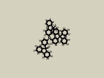 CC1(C)c2ccccc2-c2ccc(N(c3cccc(C4(C)c5ccccc5-c5ccccc54)c3)c3cccc4c3-c3ccccc3C4(c3ccccc3)c3ccccc3)cc21